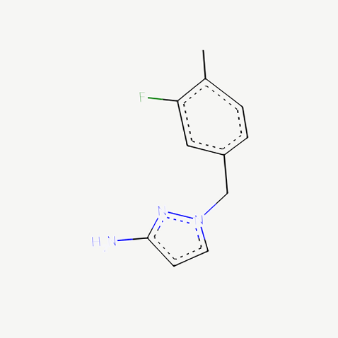 Cc1ccc(Cn2ccc(N)n2)cc1F